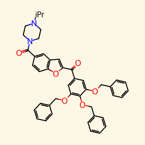 CC(C)N1CCN(C(=O)c2ccc3oc(C(=O)c4cc(OCc5ccccc5)c(OCc5ccccc5)c(OCc5ccccc5)c4)cc3c2)CC1